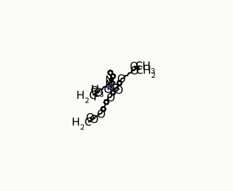 C=CC(=O)OCCCOc1ccc(-c2ccc(COc3ccc(OC(=O)c4ccc(OCCCCCCOC(=O)C(=C)C)cc4)c(/C(C)=N/N(CCCCCOC(=O)C(=C)F)c4nc5c(ccc6ccccc65)s4)c3)cc2)cc1